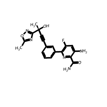 Cc1nc([C@](C)(O)C#Cc2cccc(-c3nc(C(N)=O)c(N)cc3F)c2)no1